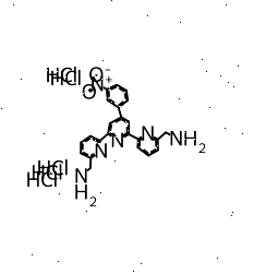 Cl.Cl.Cl.Cl.Cl.NCc1cccc(-c2cc(-c3cccc([N+](=O)[O-])c3)cc(-c3cccc(CN)n3)n2)n1